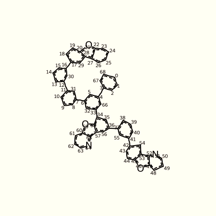 c1ccc(-c2cc(-c3cccc(-c4cccc(-c5ccc6oc7ccccc7c6c5)c4)c3)cc(-c3cc(-c4cccc(-c5ccc6oc7cccnc7c6c5)c4)cc4c3oc3cccnc34)c2)cc1